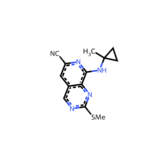 CSc1ncc2cc(C#N)nc(NC3(C)CC3)c2n1